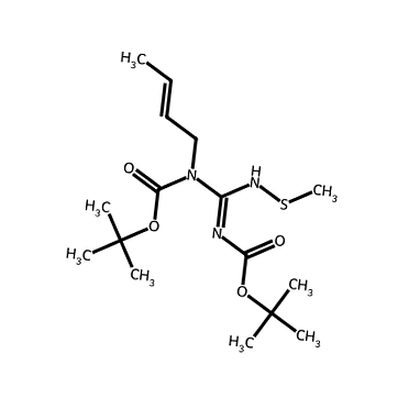 CC=CCN(C(=O)OC(C)(C)C)C(=NC(=O)OC(C)(C)C)NSC